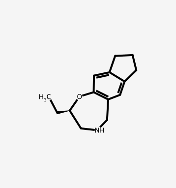 CC[C@@H]1CNCc2cc3c(cc2O1)CCC3